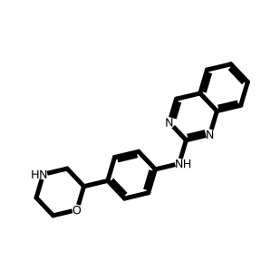 c1ccc2nc(Nc3ccc(C4CNCCO4)cc3)ncc2c1